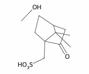 CC1(C)C2CCC1(CS(=O)(=O)O)C(=O)C2.CO